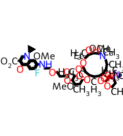 CC[C@H]1OC(=O)[C@H](C)[C@@H](O[C@H]2C[C@@](C)(OC)[C@@H](OC(=O)CCOCCNc3c(F)cc4c(=O)c(C(=O)O)cn(C5CC5)c4c3OC)[C@H](C)O2)[C@H](C)[C@@H](O[C@@H]2O[C@H](C)C[C@H](N(C)C)[C@@H]2O)[C@](C)(O)C[C@@H](C)CN(C)[C@H](C)[C@@H](OC)[C@]1(C)O